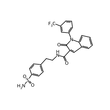 NS(=O)(=O)c1ccc(CCNC(=O)c2cc3ccccc3n(-c3cccc(C(F)(F)F)c3)c2=O)cc1